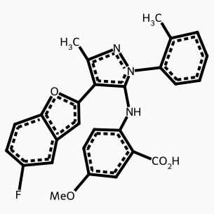 COc1ccc(Nc2c(-c3cc4cc(F)ccc4o3)c(C)nn2-c2ccccc2C)c(C(=O)O)c1